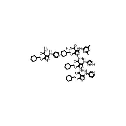 Cc1cc(Nc2snc(OCC3CCCCC3)c2C(N)=O)nc(C)n1.NC(=O)c1c(OCC2CCCCC2)nsc1Nc1cc[nH]n1.NC(=O)c1c(OCC2CCCCC2)nsc1Nc1cccnc1.NC(=O)c1c(OCC2CCCCC2)nsc1Nc1ccncc1